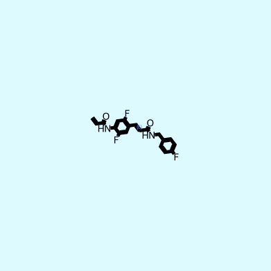 C=CC(=O)Nc1cc(F)c(/C=C/C(=O)NCc2ccc(F)cc2)cc1F